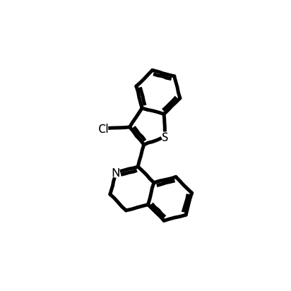 Clc1c(C2=NCCc3ccccc32)sc2ccccc12